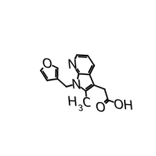 Cc1c(CC(=O)O)c2cccnc2n1Cc1ccoc1